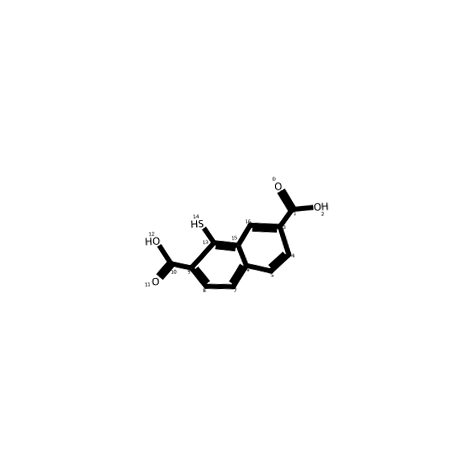 O=C(O)c1ccc2ccc(C(=O)O)c(S)c2c1